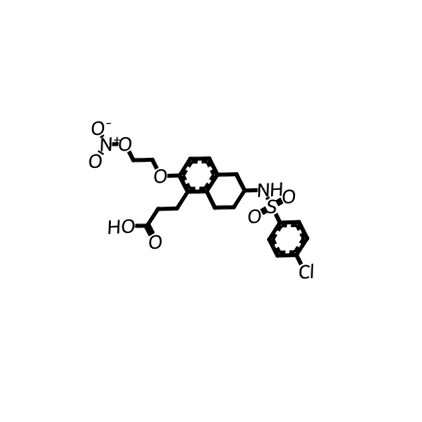 O=C(O)CCc1c(OCCO[N+](=O)[O-])ccc2c1CCC(NS(=O)(=O)c1ccc(Cl)cc1)C2